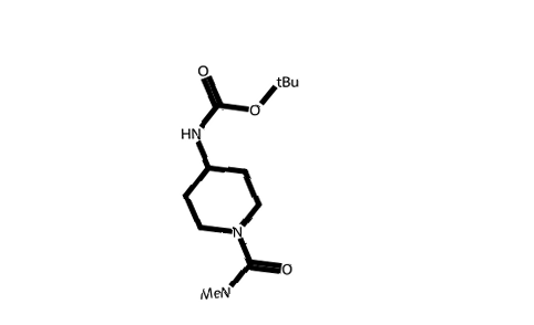 CNC(=O)N1CCC(NC(=O)OC(C)(C)C)CC1